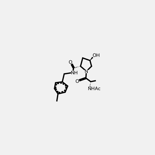 CC(=O)N[C@@H](C)C(=O)N1C[C@H](O)C[C@H]1C(=O)NCc1ccc(C)cc1